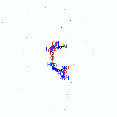 CCN(c1cc(-c2ccc(CN3CCN(CC(=O)NCCCCCOCCCOCC(C=O)CN[C@H](C(=O)N4C[C@H](O)C[C@H]4C(=O)NCc4ccc(-c5scnc5C)cc4)C(C)(C)C)CC3)cc2)cc(C(=O)NCc2c(C)cc(C)[nH]c2=O)c1C)C1CCOCC1